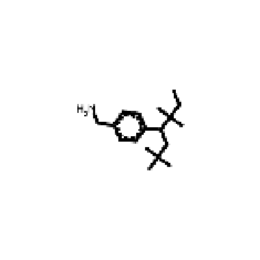 CCC(C)(C)C(CC(C)(C)C)c1ccc(CN)cc1